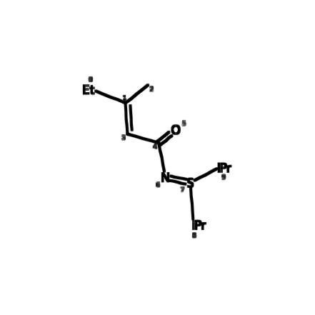 CC/C(C)=C/C(=O)N=S(C(C)C)C(C)C